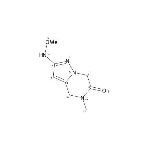 CONc1cc2n(n1)CC(=O)N(C)C2